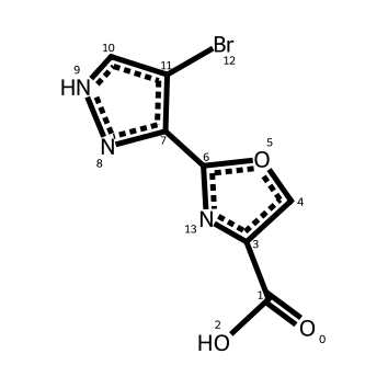 O=C(O)c1coc(-c2n[nH]cc2Br)n1